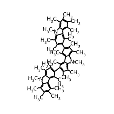 Cc1c(C)c(C)c2c(c1C)c1c(C)c(-c3c(C)c(C)c4c(c3C)c3c(C)c(-c5c(C)c(C)c6c(c5C)c5c(C)c(C)c(C)c(C)c5n6C)c(C)c(C)c3n4C)c(C)c(C)c1n2C